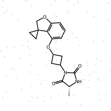 C[C@H]1NC(=O)N(C2CC(Oc3cccc4c3C3(CC3)CO4)C2)C1=O